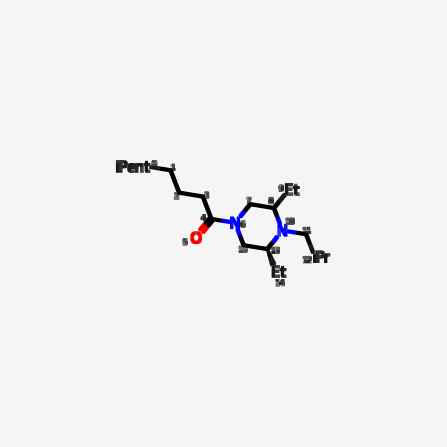 CCCC(C)CCCC(=O)N1CC(CC)N(CC(C)C)[C@@H](CC)C1